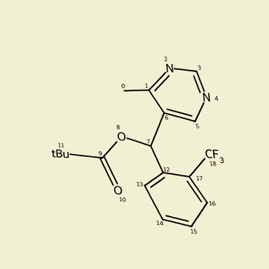 Cc1ncncc1C(OC(=O)C(C)(C)C)c1ccccc1C(F)(F)F